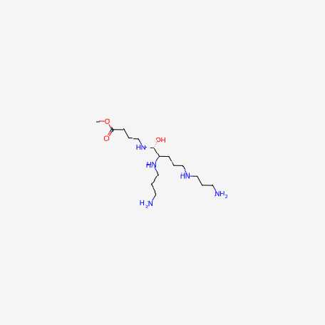 COC(=O)CCCN[C@H](O)C(CCCNCCCN)NCCCN